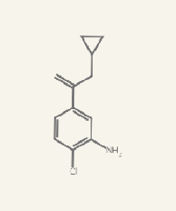 C=C(CC1CC1)c1ccc(Cl)c(N)c1